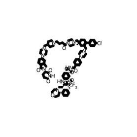 C[C@@]1(CN2CCN(C(=O)CCCN3CCC(CN4CCN(c5ccc6c(c5)CN(C5CCC(=O)NC5=O)C6=O)CC4)CC3)CC2)CCC(c2ccc(Cl)cc2)=C(CN2CCN(c3ccc(C(=O)NS(=O)(=O)c4ccc(N[C@H](CCN5CCCOCC5)CSc5ccccc5)c(S(=O)(=O)C(F)(F)F)c4)cc3)CC2)C1